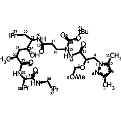 COCOC(Cn1nc(C)cc1C)C(=O)NN(CCC(=O)NC(CC(C)C)C(O)CC(C)C(=O)NC(C(=O)NCC(C)C)C(C)C)C(=O)OC(C)(C)C